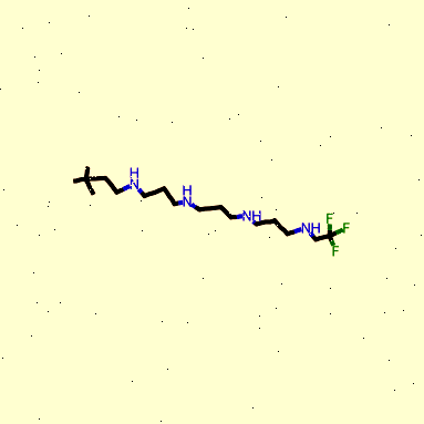 CC(C)(C)CCNCCCNCCCNCCCNCC(F)(F)F